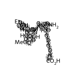 CCO[C@H]1OCCN2[C@@H]1O[C@@H]1[C@H](C)O[C@@H](O[C@H]3C[C@](O)(C(=O)NCCNC(=O)[C@H](C)NC(=O)[C@H](CC(N)=O)NC(=O)CCOCCOCCOCCOCCN4CCC(C(=O)O)CC4)Cc4c(O)c5c(c(O)c43)C(=O)c3c(OC)cccc3C5=O)C[C@@H]12